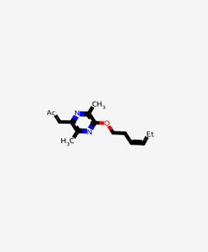 CC/C=C\CCOc1nc(C)c(CC(C)=O)nc1C